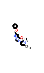 Cc1ccc(N2CCn3nc(COc4ccccc4)cc3C2=O)c(C)n1